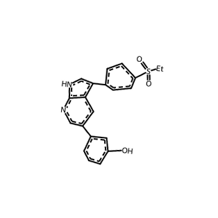 CCS(=O)(=O)c1ccc(-c2c[nH]c3ncc(-c4cccc(O)c4)cc23)cc1